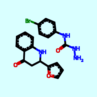 NNC(=O)Nc1ccc(Br)cc1.O=C1CC(c2ccco2)Nc2ccccc21